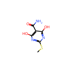 CSc1nc(O)c(C(N)=O)c(O)n1